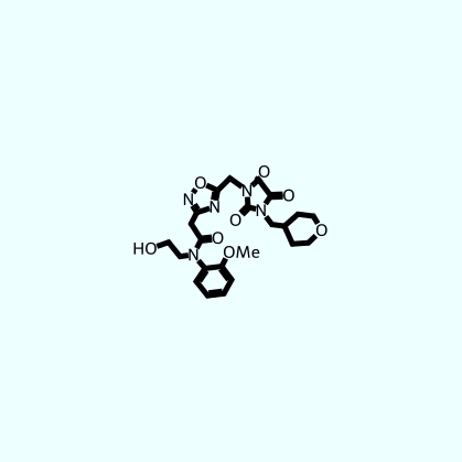 COc1ccccc1N(CCO)C(=O)Cc1noc(CN2C(=O)C(=O)N(CC3CCOCC3)C2=O)n1